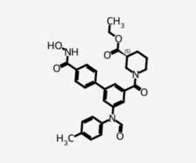 CCOC(=O)[C@H]1CCCN(C(=O)c2cc(-c3ccc(C(=O)NO)cc3)cc(N(C=O)c3ccc(C)cc3)c2)C1